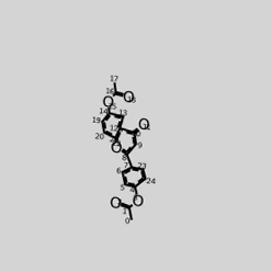 CC(=O)Oc1ccc(-c2cc(=O)c3cc(OC(C)=O)ccc3o2)cc1